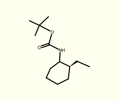 CC[C@H]1CCCCC1NC(=O)OC(C)(C)C